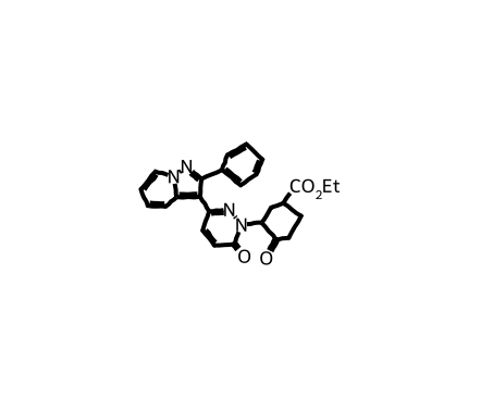 CCOC(=O)C1CCC(=O)C(n2nc(-c3c(-c4ccccc4)nn4ccccc34)ccc2=O)C1